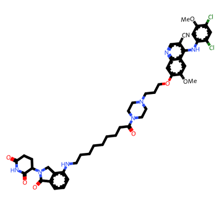 COc1cc(Nc2c(C#N)cnc3cc(OCCCN4CCN(C(=O)CCCCCCCCNc5cccc6c5CN(C5CCC(=O)NC5=O)C6=O)CC4)c(OC)cc23)c(Cl)cc1Cl